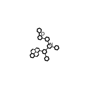 C1=CC2C=Cc3cccc4c3C2C(=C1c1cc(-c2ccccc2)cc(-c2cc(-c3ccccc3)nc(-c3cccc(-c5cccc6c5oc5ccccc56)c3)c2)c1)C=C4